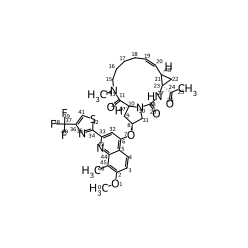 COc1ccc2c(O[C@H]3C[C@H]4C(=O)N(C)CCCC/C=C\[C@H]5C[C@@]5(C(C)=O)NC(=O)N4C3)cc(-c3nc(C(F)(F)F)cs3)nc2c1C